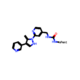 C=C1C(c2cccnc2)=CNN1c1cc(CNC(=O)NCCCCC)ccn1